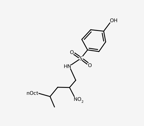 CCCCCCCCC(C)CC(CNS(=O)(=O)c1ccc(O)cc1)[N+](=O)[O-]